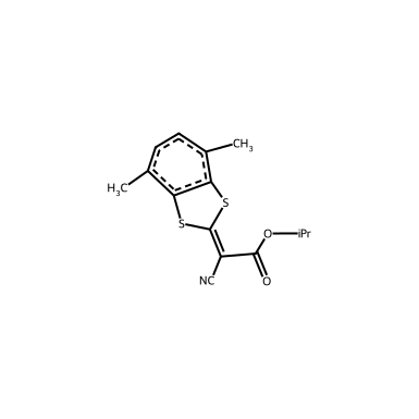 Cc1ccc(C)c2c1SC(=C(C#N)C(=O)OC(C)C)S2